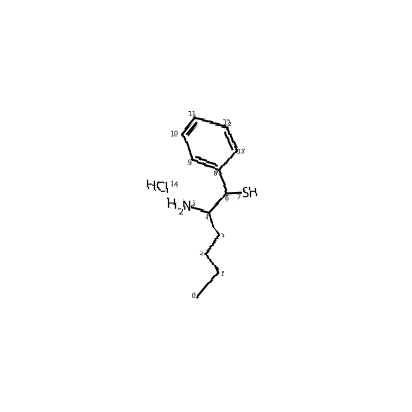 CCCCC(N)C(S)c1ccccc1.Cl